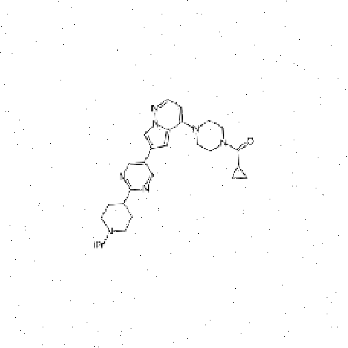 CC(C)N1CCC(c2ncc(-c3cc4c(N5CCN(C(=O)C6CC6)CC5)ccnn4c3)cn2)CC1